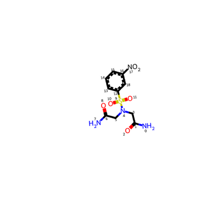 NC(=O)CN(CC(N)=O)S(=O)(=O)c1cccc([N+](=O)[O-])c1